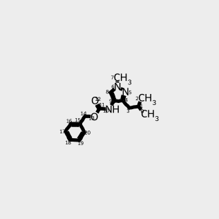 CC(C)Cc1nn(C)cc1NC(=O)OCc1ccccc1